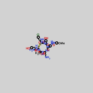 COc1ccc(NC(=O)Nc2ccc(C[C@H]3NC(=O)[C@H](Cc4ccc(O)cc4)NC(=O)[C@H](NC(=O)[C@@H](N)Cc4ccc(Cl)cc4)CSSC[C@@H](C(=O)NC(Cc4ccc(O)cc4)C(N)=O)NC(=O)[C@H]([C@@H](C)O)NC(=O)[C@H](CCCCN)NC3=O)cc2)cc1